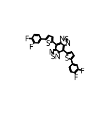 Fc1ccc(-c2ccc(-c3c4c(c(-c5ccc(-c6ccc(F)c(F)c6)s5)c5nsnc35)N=S=N4)s2)cc1F